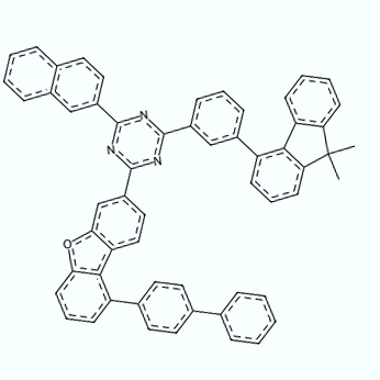 CC1(C)c2ccccc2-c2c(-c3cccc(-c4nc(-c5ccc6ccccc6c5)nc(-c5ccc6c(c5)oc5cccc(-c7ccc(-c8ccccc8)cc7)c56)n4)c3)cccc21